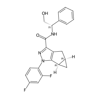 O=C(N[C@H](CO)c1ccccc1)c1nn(-c2ccc(F)cc2F)c2c1C[C@H]1C[C@@H]21